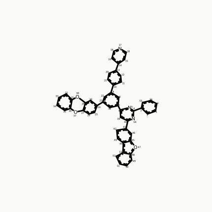 c1ccc(-c2nc(-c3cc(-c4ccc(-c5ccncc5)cc4)cc(-c4ccc5c(c4)Oc4ccccc4O5)c3)cc(-c3ccc4c(c3)oc3ccccc34)n2)cc1